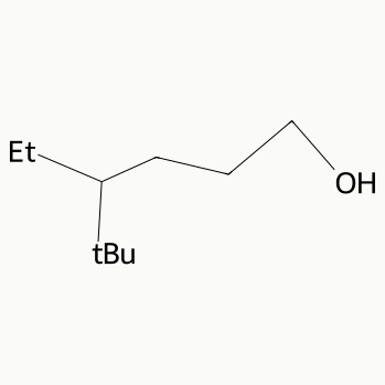 CCC(CCCO)C(C)(C)C